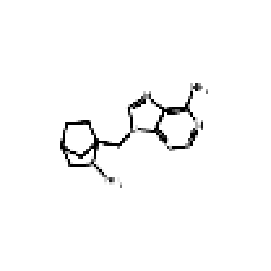 Nc1ncnc2c1ncn2CC12CCC(CC1N)C2